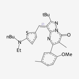 CCCCN(CC)c1ccc(/C=c2/c(C(C)(C)C)nn3c(=O)c(C)c(-c4cc(C)ccc4OC)nc23)s1